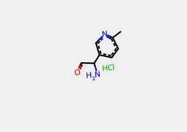 Cc1ccc(C(N)C=O)cn1.Cl